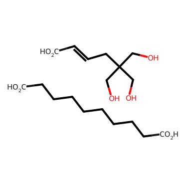 O=C(O)C=CCC(CO)(CO)CO.O=C(O)CCCCCCCCC(=O)O